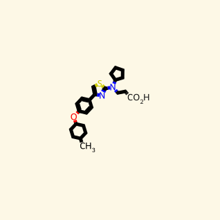 CC1CCC(Oc2ccc(-c3csc(N(CCC(=O)O)C4CCCC4)n3)cc2)CC1